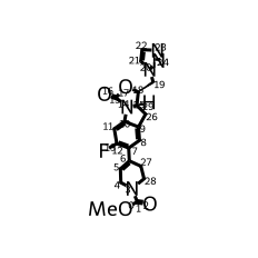 COC(=O)N1CC=C(c2cc3c(cc2F)N2C(=O)O[C@@H](Cn4ccnn4)[C@@H]2C3)CC1